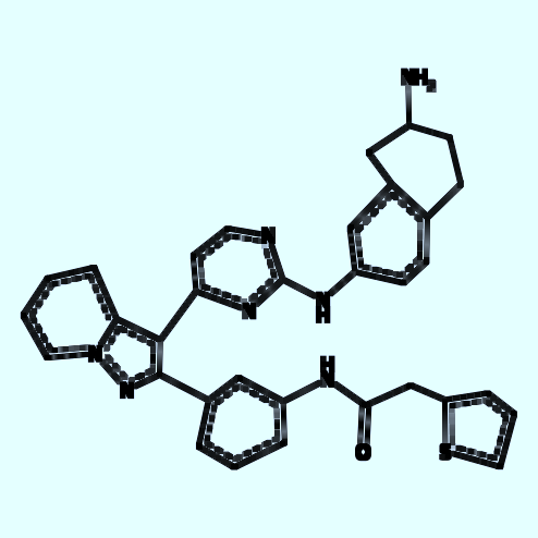 NC1CCc2ccc(Nc3nccc(-c4c(-c5cccc(NC(=O)Cc6cccs6)c5)nn5ccccc45)n3)cc2C1